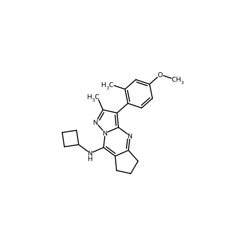 COc1ccc(-c2c(C)nn3c(NC4CCC4)c4c(nc23)CCC4)c(C)c1